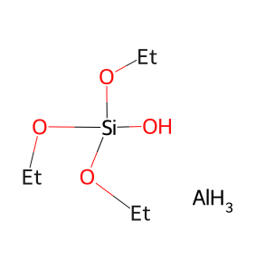 CCO[Si](O)(OCC)OCC.[AlH3]